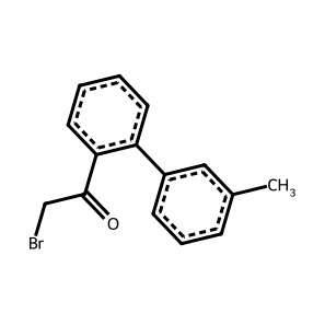 Cc1cccc(-c2ccccc2C(=O)CBr)c1